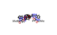 COC(=O)N[C@H](C(=O)N1C2CCCCC2C[C@H]1c1nc(-c2ccc(-c3cc4ccc3CCc3ccc(c(-c5c[nH]c([C@@H]6CC7CCCCC7N6C(=O)[C@@H](NC(=O)OC)C(C)C)n5)c3)CC4)cc2)c[nH]1)C(C)C